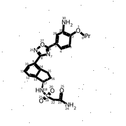 CC(C)Oc1ccc(-c2nc(-c3cccc4c3CC[C@H]4NS(=O)(=O)CC(N)=O)no2)cc1N